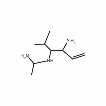 C=CC([SiH3])C(NC(C)N)C(C)C